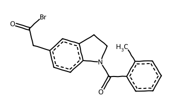 Cc1ccccc1C(=O)N1CCc2cc(CC(=O)Br)ccc21